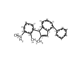 CC1=Cc2c(-c3ccccc3)cccc2C1c1cccc([SiH2]Cl)c1C